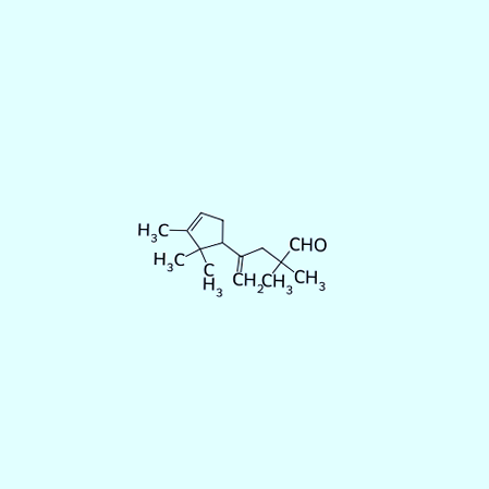 C=C(CC(C)(C)C=O)C1CC=C(C)C1(C)C